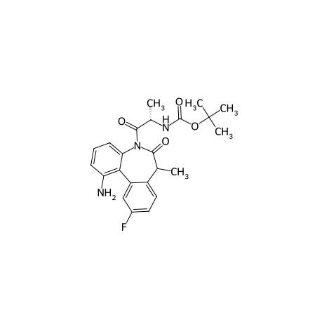 CC1C(=O)N(C(=O)[C@H](C)NC(=O)OC(C)(C)C)c2cccc(N)c2-c2cc(F)ccc21